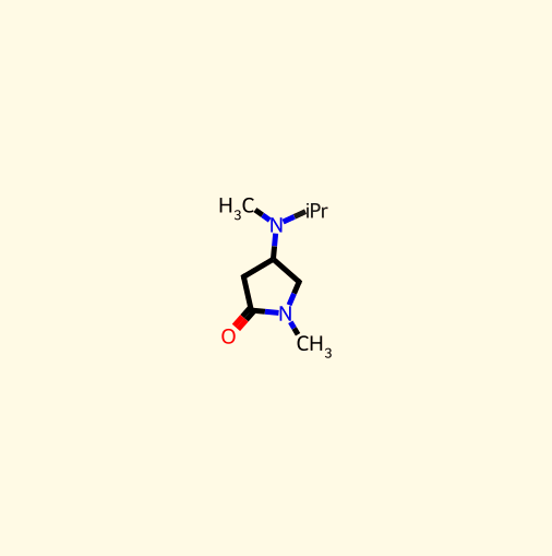 CC(C)N(C)C1CC(=O)N(C)C1